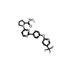 NC(=O)C1CCCN1c1ccnc(-c2ccc(Oc3ccc(C(F)(F)F)cn3)cc2)n1